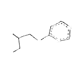 CC(C[O])CSc1ccncn1